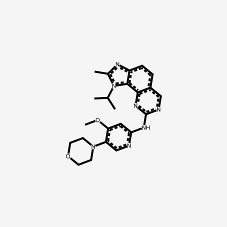 COc1cc(Nc2ncc3ccc4nc(C)n(C(C)C)c4c3n2)ncc1N1CCOCC1